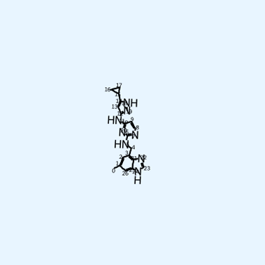 Cc1cc(CNc2nccc(Nc3cc(C4CC4)[nH]n3)n2)c2nc[nH]c2c1